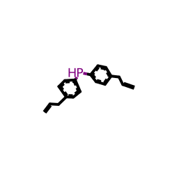 C=CCc1ccc(Pc2ccc(CC=C)cc2)cc1